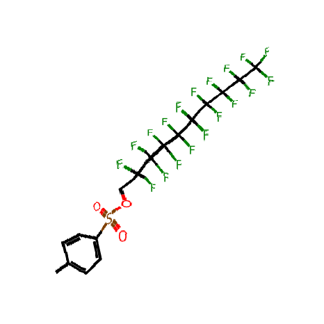 Cc1ccc(S(=O)(=O)OCC(F)(F)C(F)(F)C(F)(F)C(F)(F)C(F)(F)C(F)(F)C(F)(F)C(F)(F)C(F)(F)F)cc1